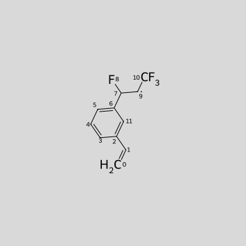 C=Cc1cccc(C(F)[CH]C(F)(F)F)c1